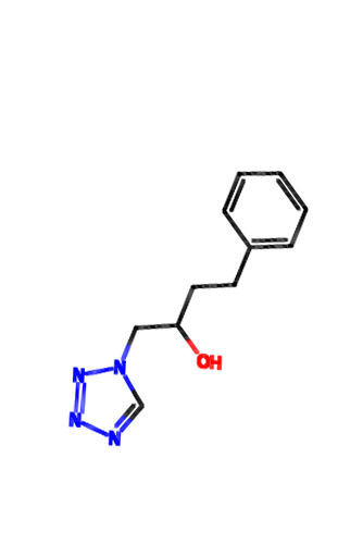 OC(CCc1ccccc1)Cn1cnnn1